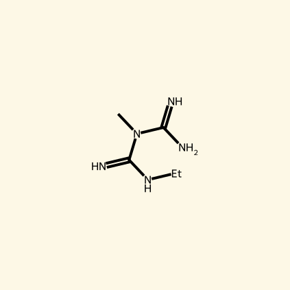 CCNC(=N)N(C)C(=N)N